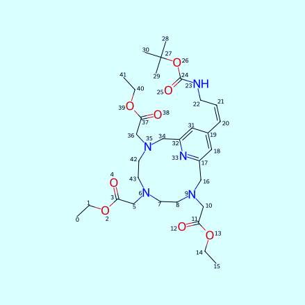 CCOC(=O)CN1CCN(CC(=O)OCC)Cc2cc(/C=C\CNC(=O)OC(C)(C)C)cc(n2)CN(CC(=O)OCC)CC1